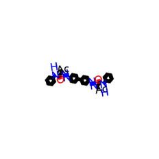 CC(=O)C(N=Nc1ccc(-c2ccc(N=NC(C(C)=O)C(=O)Nc3ccccc3)cc2)cc1)C(=O)Nc1ccccc1